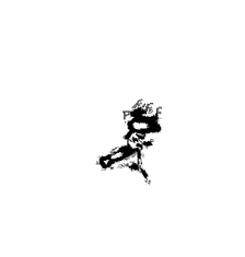 CCS(=O)(=O)N(Cc1ccc(F)c(C(F)(F)F)c1)c1sc2ccccc2c1CN(C)C